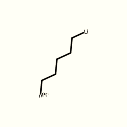 [Li][CH2]CCCC[CH]CC